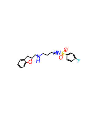 O=S(=O)(NCCCCNCC1Cc2ccccc2O1)c1ccc(F)cc1